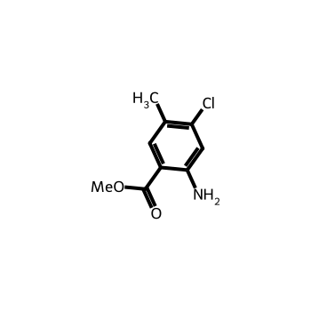 COC(=O)c1cc(C)c(Cl)cc1N